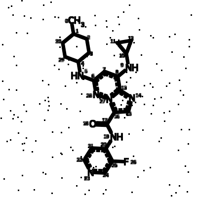 CC1CCC(Nc2cc(NC3CC3)c3ncc(C(=O)Nc4ccncc4F)n3n2)CC1